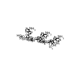 CCCCC[C@@](CC)(COP(O)(=S)O[C@@H]1[C@H](OC)[C@@H](COP(O)(O)=S)O[C@H]1n1cnc2c(N)ncnc21)[C@H]1O[C@@H](n2cnc3c(N)ncnc32)[C@H](OP(O)(=S)OC[C@@](C)(CCCC)[C@H]2O[C@@H](n3cnc4c(N)ncnc43)[C@H](O)[C@@H]2O)[C@@H]1OC